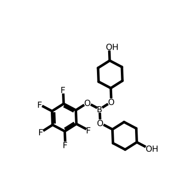 OC1CCC(OB(Oc2c(F)c(F)c(F)c(F)c2F)OC2CCC(O)CC2)CC1